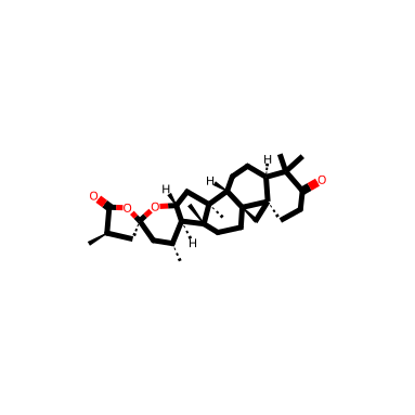 C[C@@H]1C[C@]2(C[C@@H](C)[C@H]3[C@@H](C[C@@]4(C)[C@@H]5CC[C@H]6C(C)(C)C(=O)CC[C@@]67C[C@@]57CC[C@]34C)O2)OC1=O